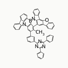 Cc1c(-c2cccc(-c3nc(-c4ccccc4)nc(-c4ccccc4)n3)c2)cc2c3c1-c1cc4c5ccccc5oc4c4c5ccccc5n(c14)B3c1cccc3c4ccccc4n-2c13